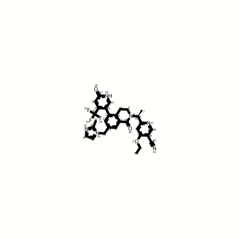 CCOc1cc([C@H](C)N2CCc3c(cc(Cn4ccnc4C)cc3-c3c[nH]c(=O)cc3C(F)(F)F)C2=O)ncc1C#N